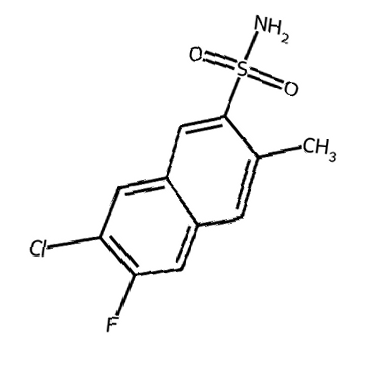 Cc1cc2cc(F)c(Cl)cc2cc1S(N)(=O)=O